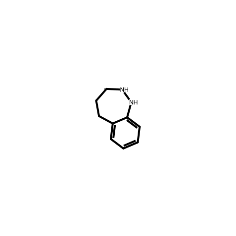 [C]1CCc2ccccc2NN1